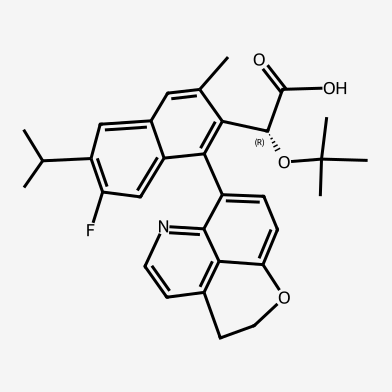 Cc1cc2cc(C(C)C)c(F)cc2c(-c2ccc3c4c(ccnc24)CCO3)c1[C@@H](OC(C)(C)C)C(=O)O